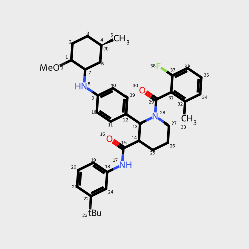 COC1CC[C@@H](C)CC1Nc1ccc(C2C(C(=O)Nc3cccc(C(C)(C)C)c3)CCCN2C(=O)c2c(C)cccc2F)cc1